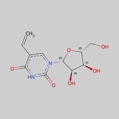 C=Cc1cn([C@@H]2O[C@H](CO)[C@@H](O)[C@H]2O)c(=O)[nH]c1=O